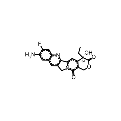 CC[C@@]1(O)C(=O)OCc2c1cc1n(c2=O)Cc2cc3cc(N)c(F)cc3nc2-1